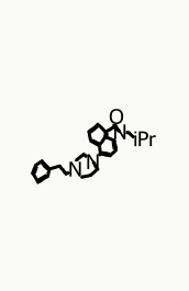 CC(C)CN1C(=O)c2cccc3c(N4CCCN(CCc5ccccc5)CC4)ccc1c23